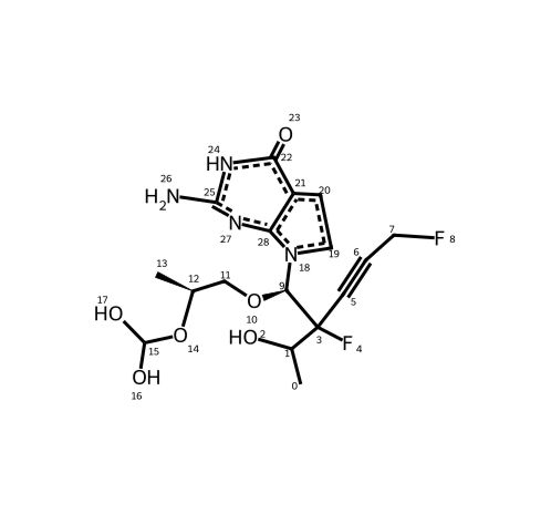 CC(O)C(F)(C#CCF)[C@@H](OC[C@H](C)OC(O)O)n1ccc2c(=O)[nH]c(N)nc21